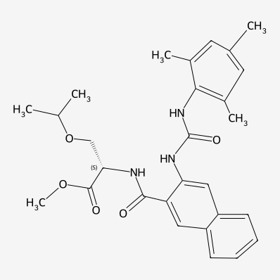 COC(=O)[C@H](COC(C)C)NC(=O)c1cc2ccccc2cc1NC(=O)Nc1c(C)cc(C)cc1C